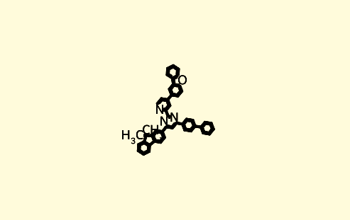 CC1(C)c2ccccc2-c2ccc(-c3cc(-c4ccc(-c5ccccc5)cc4)nc(-c4cc(-c5ccc6oc7ccccc7c6c5)ccn4)n3)cc21